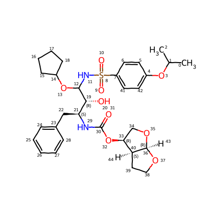 CC(C)Oc1ccc(S(=O)(=O)NC(OC2CCCC2)[C@H](O)[C@H](Cc2ccccc2)NC(=O)O[C@H]2CO[C@H]3OCC[C@H]32)cc1